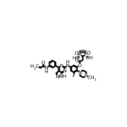 C=CC(=O)Nc1cccc(-c2nc(Nc3cc(F)c(N4CCN(C)CC4)c(OC(=O)CC(P(=O)(O)O)P(=O)(O)O)c3)nc3[nH]ncc23)c1